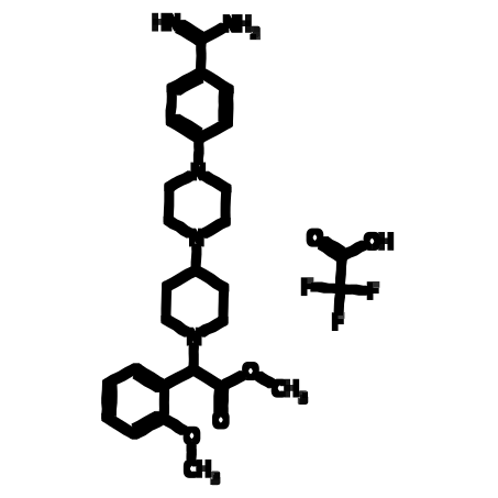 COC(=O)C(c1ccccc1OC)N1CCC(N2CCN(c3ccc(C(=N)N)cc3)CC2)CC1.O=C(O)C(F)(F)F